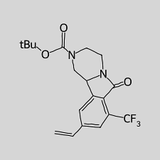 C=Cc1cc2c(c(C(F)(F)F)c1)C(=O)N1CCN(C(=O)OC(C)(C)C)CC21